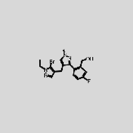 CCn1ncc(Cc2cn(C)nc2-c2ccc(F)cc2CO)c1Br